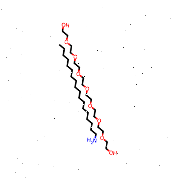 CCCCCCCCCCCCCCCCCCN.OCCOCCOCCOCCOCCOCCOCCOCCO